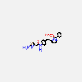 Nc1nc(CC(=O)Nc2ccc(Cc3cccn3[C@H](O)c3ccccc3)cc2)cs1